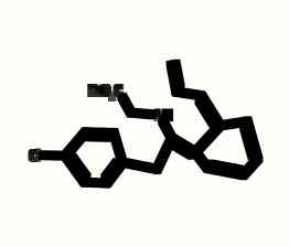 C=C/C=c1/cccc/c1=C(\Cc1ccc(Cl)cc1)NCC(=O)OCC